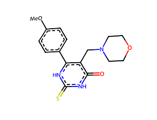 COc1ccc(-c2[nH]c(=S)[nH]c(=O)c2CN2CCOCC2)cc1